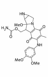 COc1ccc(NC2=C(C)C(=O)C3=C(C2=O)C(COC(N)=O)C2(OC)C4NC4CN32)cc1OC